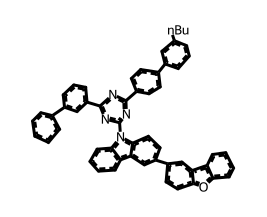 CCCCc1cccc(-c2ccc(-c3nc(-c4cccc(-c5ccccc5)c4)nc(-n4c5ccccc5c5cc(-c6ccc7oc8ccccc8c7c6)ccc54)n3)cc2)c1